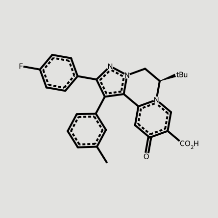 Cc1cccc(-c2c(-c3ccc(F)cc3)nn3c2-c2cc(=O)c(C(=O)O)cn2[C@H](C(C)(C)C)C3)c1